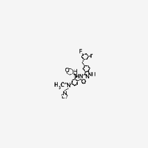 CCN(CCN1CCCC1)c1ccc(C(=O)Nc2n[nH]c3ccc(Cc4cc(F)cc(F)c4)cc23)c(NC2CCOCC2)c1